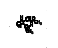 CC(=O)Nc1cc(-c2[nH]c3cccnc3c2-c2cnn(C)c2)ccn1